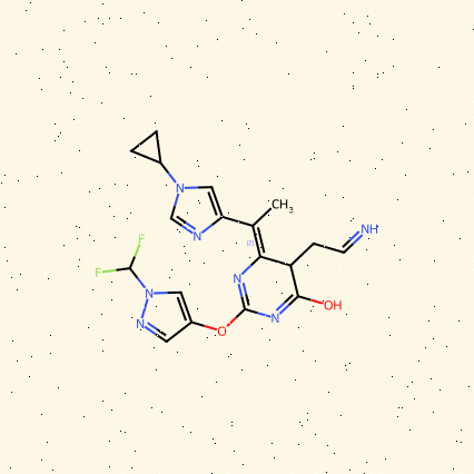 C/C(=C1/N=C(Oc2cnn(C(F)F)c2)N=C(O)C1CC=N)c1cn(C2CC2)cn1